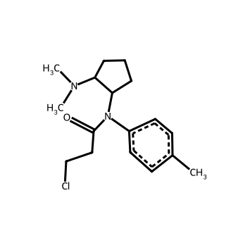 Cc1ccc(N(C(=O)CCCl)C2CCCC2N(C)C)cc1